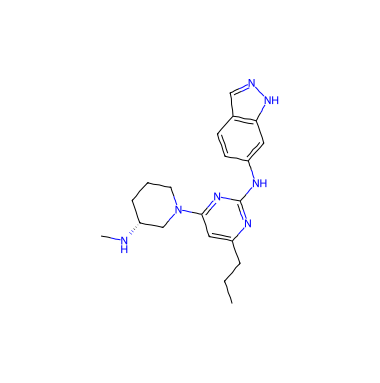 CCCc1cc(N2CCC[C@@H](NC)C2)nc(Nc2ccc3cn[nH]c3c2)n1